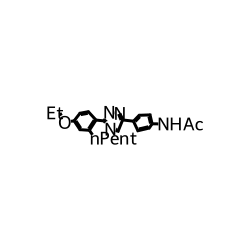 CCCCCc1cc(OCC)ccc1-c1ncc(-c2ccc(NC(C)=O)cc2)nn1